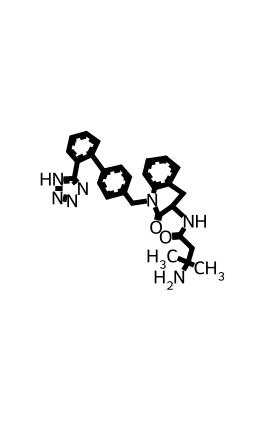 CC(C)(N)CC(=O)NC1Cc2ccccc2N(Cc2ccc(-c3ccccc3-c3nnn[nH]3)cc2)C1=O